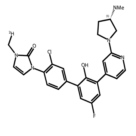 [2H]Cn1ccn(-c2ccc(-c3cc(F)cc(-c4ccnc(N5CC[C@H](NC)C5)c4)c3O)cc2Cl)c1=O